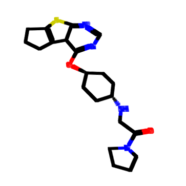 O=C(CN[C@H]1CC[C@H](OC2=NC=[N+]=C3SC4=C(CCC4)C23)CC1)N1CCCC1